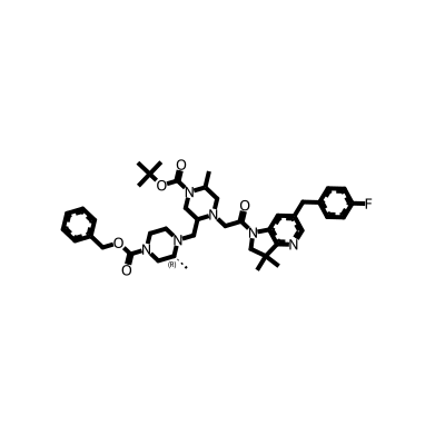 CC1CN(CC(=O)N2CC(C)(C)c3ncc(Cc4ccc(F)cc4)cc32)C(CN2CCN(C(=O)OCc3ccccc3)C[C@H]2C)CN1C(=O)OC(C)(C)C